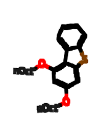 CCCCCCCCOc1cc(OCCCCCCCC)c2c(c1)sc1ccccc12